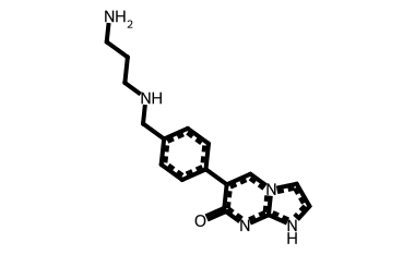 NCCCNCc1ccc(-c2cn3cc[nH]c3nc2=O)cc1